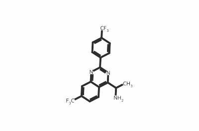 CC(N)c1nc(-c2ccc(C(F)(F)F)cc2)nc2cc(C(F)(F)F)ccc12